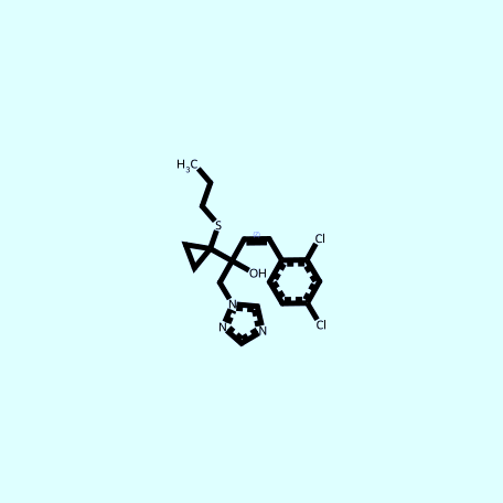 CCCSC1(C(O)(/C=C\c2ccc(Cl)cc2Cl)Cn2cncn2)CC1